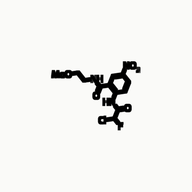 COCCNC(=O)c1cc([N+](=O)[O-])ccc1NC(=O)C(F)Cl